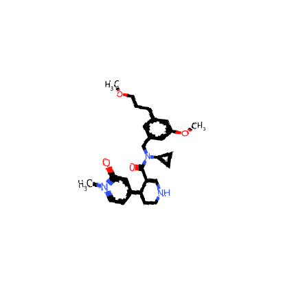 COCCCc1cc(CN(C(=O)C2CNCCC2c2ccn(C)c(=O)c2)C2CC2)cc(OC)c1